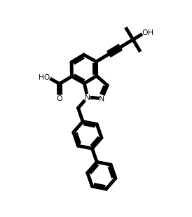 CC(C)(O)C#Cc1ccc(C(=O)O)c2c1cnn2Cc1ccc(-c2ccccc2)cc1